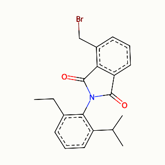 CCc1cccc(C(C)C)c1N1C(=O)c2cccc(CBr)c2C1=O